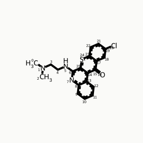 CN(C)CCNc1nc2ccccc2c2c(=O)c3cc(Cl)ccc3sc12